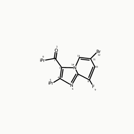 CC(C)C(=O)c1c(C(C)C)nc2c(F)cc(Br)cn12